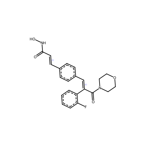 O=C(/C=C/c1ccc(/C=C(/C(=O)N2CCOCC2)c2ccccc2F)cc1)NO